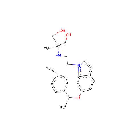 Cc1ccc(C(C)Oc2ccc3ccn(CCNC(C)(CO)CO)c3c2)cc1